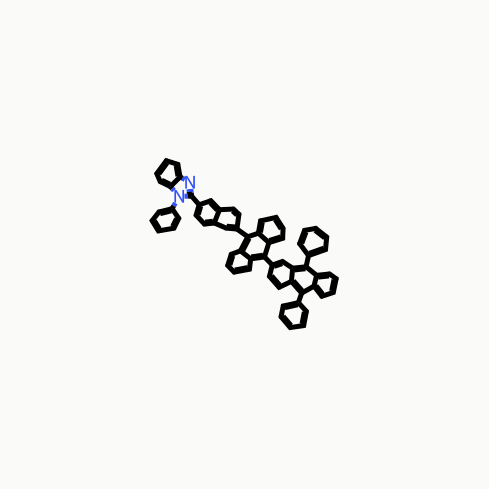 c1ccc(-c2c3ccccc3c(-c3ccccc3)c3cc(-c4c5ccccc5c(-c5ccc6cc(-c7nc8ccccc8n7-c7ccccc7)ccc6c5)c5ccccc45)ccc23)cc1